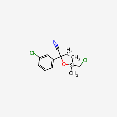 CC(C#N)(O[Si](C)(C)CCl)c1cccc(Cl)c1